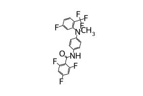 CN(c1ccc(NC(=O)c2c(F)cc(F)cc2F)cc1)c1cc(F)ccc1C(F)(F)F